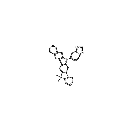 CC1(C)c2ccccc2-c2cc3c(cc21)c1cc2ccccc2cc1n3-c1ccc2ncoc2c1